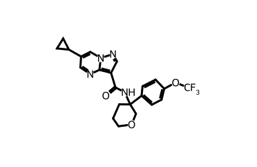 O=C(NC1(c2ccc(OC(F)(F)F)cc2)CCCOC1)c1cnn2cc(C3CC3)cnc12